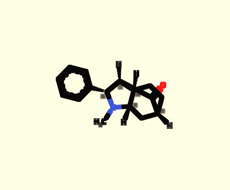 CN1[C@H](c2ccccc2)[C@H]2C(=O)[C@@H]3CC[C@H]2[C@@H]1C3